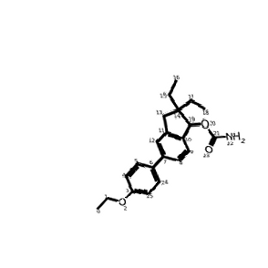 CCOc1ccc(-c2ccc3c(c2)CC(CC)(CC)C3OC(N)=O)cc1